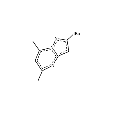 Cc1cc(C)n2nc(C(C)(C)C)cc2n1